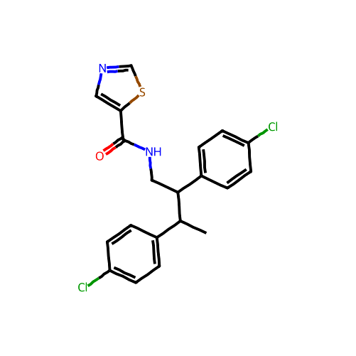 CC(c1ccc(Cl)cc1)C(CNC(=O)c1cncs1)c1ccc(Cl)cc1